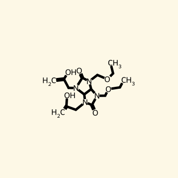 C=C(O)CN1C(=O)N(COCC)C2C1N(CC(=C)O)C(=O)N2COCC